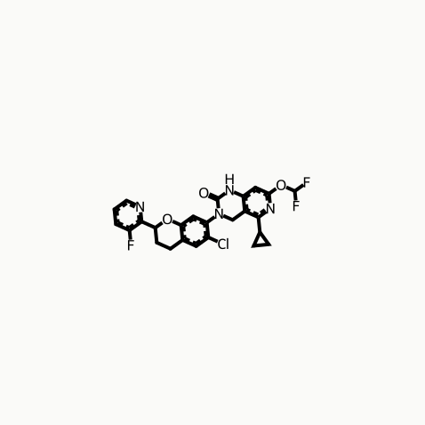 O=C1Nc2cc(OC(F)F)nc(C3CC3)c2CN1c1cc2c(cc1Cl)CCC(c1ncccc1F)O2